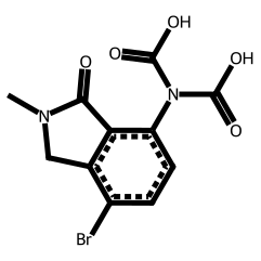 CN1Cc2c(Br)ccc(N(C(=O)O)C(=O)O)c2C1=O